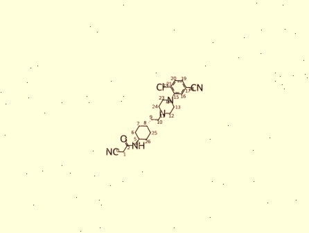 N#CCC(=O)N[C@H]1CC[C@H](CCN2CCN(c3cc(C#N)ccc3Cl)CC2)CC1